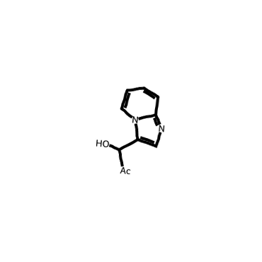 CC(=O)C(O)c1cnc2ccccn12